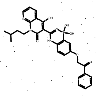 CC(C)CCn1c(=O)c(C2=NS(O)(O)c3cc(OCC(=O)c4ccccc4)ccc3N2)c(O)c2cccnc21